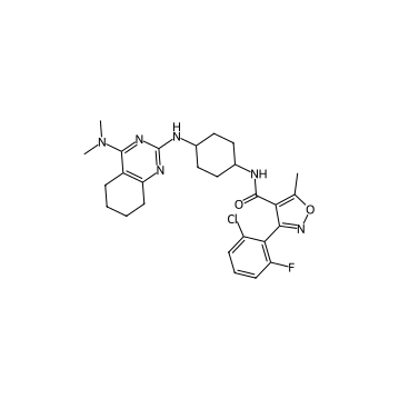 Cc1onc(-c2c(F)cccc2Cl)c1C(=O)NC1CCC(Nc2nc3c(c(N(C)C)n2)CCCC3)CC1